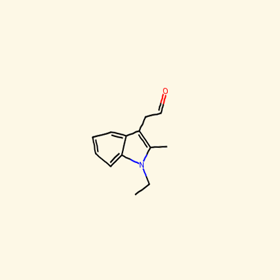 CCn1c(C)c(CC=O)c2ccccc21